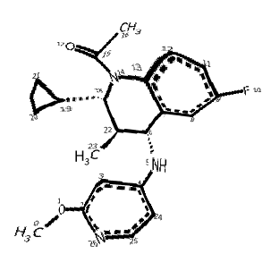 COc1cc(N[C@H]2c3cc(F)ccc3N(C(C)=O)[C@@H](C3CC3)[C@@H]2C)ccn1